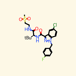 CC(C)(C)[C@H](NC(=O)c1nn(Cc2ccc(F)cc2)c2ccc(Cl)cc12)C(=O)NCCS(C)(=O)=O